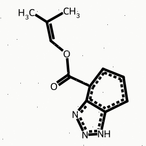 CC(C)=COC(=O)c1cccc2[nH]nnc12